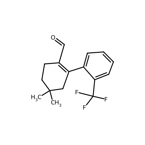 CC1(C)CCC(C=O)=C(c2ccccc2C(F)(F)F)C1